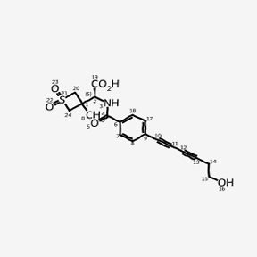 CC1([C@H](NC(=O)c2ccc(C#CC#CCCO)cc2)C(=O)O)CS(=O)(=O)C1